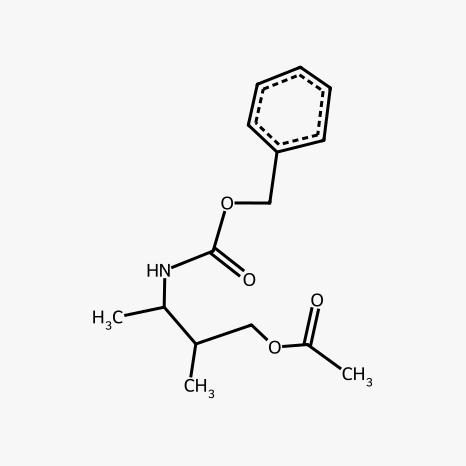 CC(=O)OCC(C)C(C)NC(=O)OCc1ccccc1